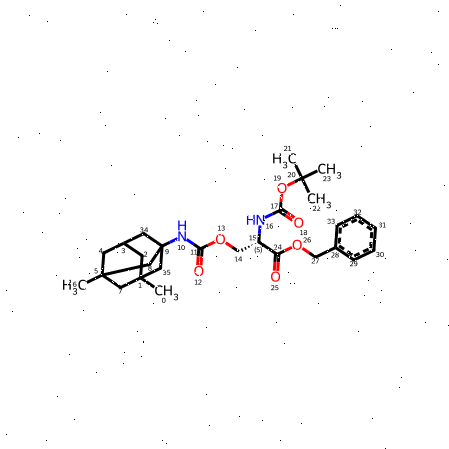 CC12CC3CC(C)(C1)CC(NC(=O)OC[C@H](NC(=O)OC(C)(C)C)C(=O)OCc1ccccc1)(C3)C2